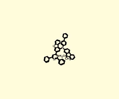 CC1(C)c2ccccc2-c2ccc(N(c3ccc(-c4ccccc4)cc3)c3cc(-c4cc(-c5ccccc5)nc(-c5ccccc5)n4)cc4oc5ccccc5c34)cc21